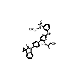 CCOC(=O)N=S(C)(=O)c1cccc(Nc2ncc(-c3ccc(NC(=O)C4(c5ccccc5)CC4)cc3)c(NC(C)CO)n2)c1